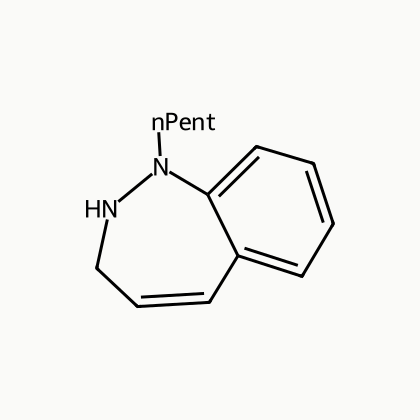 CCCCCN1NCC=Cc2ccccc21